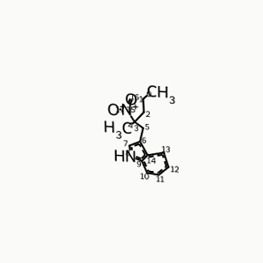 CCCC(C)(Cc1c[nH]c2ccccc12)[N+](=O)[O-]